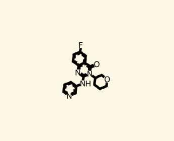 O=c1c2cc(F)ccc2nc(Nc2cccnc2)n1C1CCCOC1